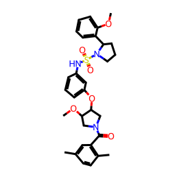 COc1ccccc1C1CCCN1S(=O)(=O)Nc1cccc(OC2CN(C(=O)c3cc(C)ccc3C)CC2OC)c1